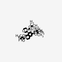 CC(C)(C)OC(=O)N1CCOC[C@H]1c1cc(B2OC(C)(C)C(C)(C)O2)cc2c1CN(C(=O)[C@](C)(O)C(F)(F)F)CC2